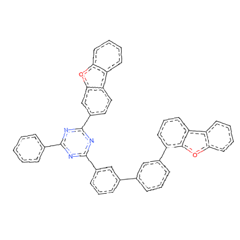 c1ccc(-c2nc(-c3cccc(-c4cccc(-c5cccc6c5oc5ccccc56)c4)c3)nc(-c3ccc4c(c3)oc3ccccc34)n2)cc1